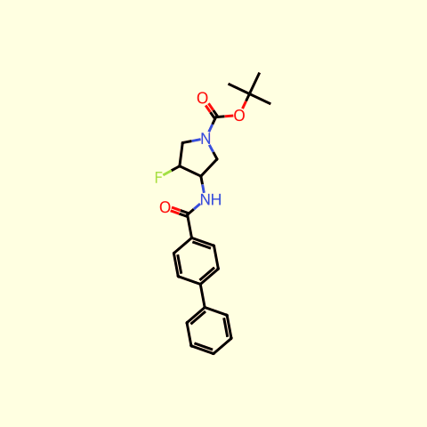 CC(C)(C)OC(=O)N1CC(F)C(NC(=O)c2ccc(-c3ccccc3)cc2)C1